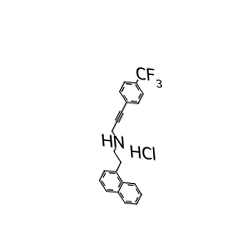 Cl.FC(F)(F)c1ccc(C#CCNCCc2cccc3ccccc23)cc1